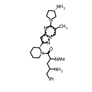 CNC(CC(N)CC(C)C)C(=O)N1CCCC[C@H]1c1cc2nc(N3CC[C@H](N)C3)c(C)cn2n1